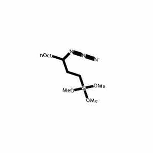 CCCCCCCCC(CC[Si](OC)(OC)OC)N=[N+]=[N-]